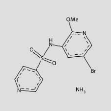 COc1ncc(Br)cc1NS(=O)(=O)c1ccncc1.N